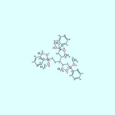 CO[Si](CCC(CC[Si](OC)(OC)c1ccccc1)CC[Si](OC)(OC)c1ccccc1)(OC)c1ccccc1